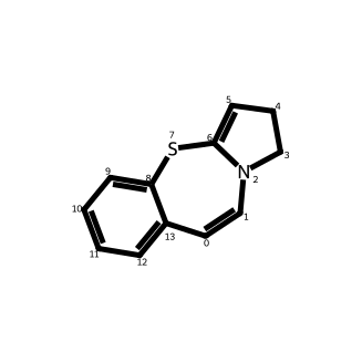 C1=CN2CCC=C2Sc2ccccc21